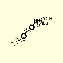 CC[C@H](C)[C@H](NC(=O)Cc1ccc(OC(=O)c2ccc(NC(=N)N)cc2)cc1)C(=O)O